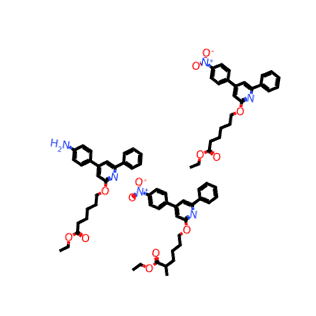 CCOC(=O)C(C)CCCCOc1cc(-c2ccc([N+](=O)[O-])cc2)cc(-c2ccccc2)n1.CCOC(=O)CCCCCOc1cc(-c2ccc(N)cc2)cc(-c2ccccc2)n1.CCOC(=O)CCCCCOc1cc(-c2ccc([N+](=O)[O-])cc2)cc(-c2ccccc2)n1